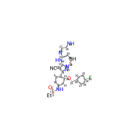 CC[S+]([O-])Nc1ccc(-c2nn3c(c2C#N)NC(/N=C\C=N)=CBS3)c(OCc2ccc(F)cc2)c1